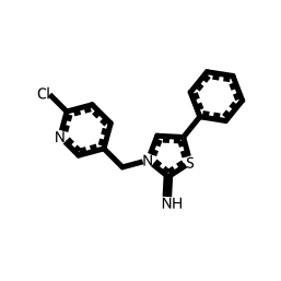 N=c1sc(-c2ccccc2)cn1Cc1ccc(Cl)nc1